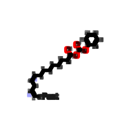 CCCCC/C=C\C/C=C\CCCCCCCC(=O)OC(=O)Oc1ccccc1